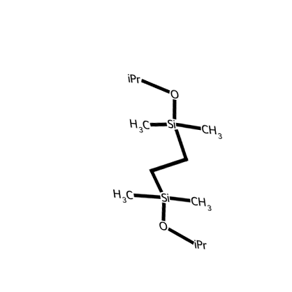 CC(C)O[Si](C)(C)CC[Si](C)(C)OC(C)C